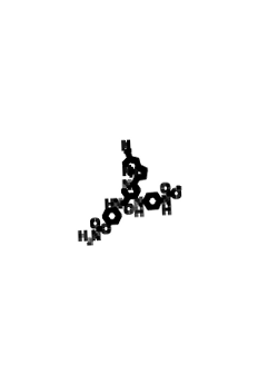 COC(=O)NC1CCC(Nc2cc(-c3ccc4cc(C#N)cnn34)ncc2C(=O)NC2CCC(OC(N)=O)CC2)CC1